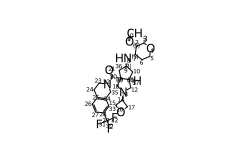 CO[C@@H]1COCC[C@@H]1N[C@@H]1C[C@H]2CN(C3COC3)C[C@@]2(C(=O)N2CCc3ccc(C(F)(F)F)cc3C2)C1